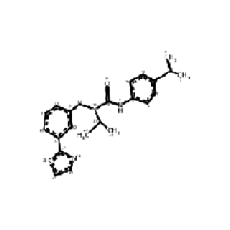 CC(C)c1ccc(NC(=O)N(Cc2cccc(-c3nccs3)c2)C(C)C)cc1